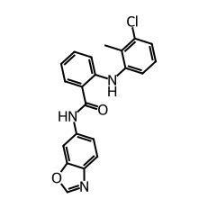 Cc1c(Cl)cccc1Nc1ccccc1C(=O)Nc1ccc2ncoc2c1